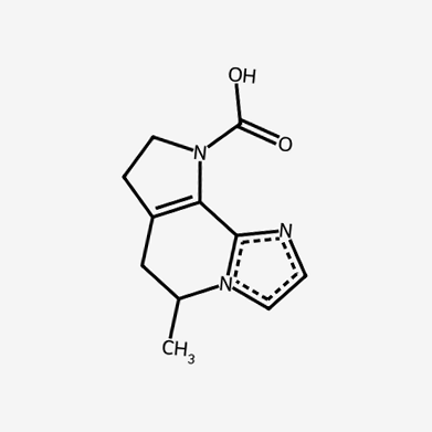 CC1CC2=C(c3nccn31)N(C(=O)O)CC2